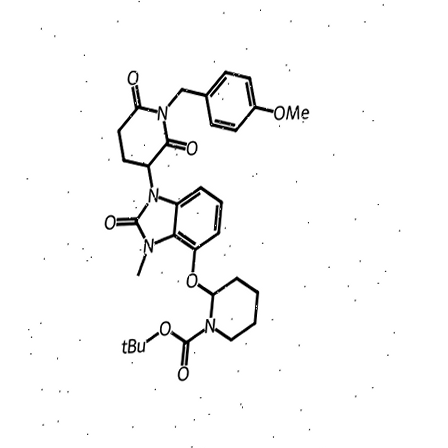 COc1ccc(CN2C(=O)CCC(n3c(=O)n(C)c4c(OC5CCCCN5C(=O)OC(C)(C)C)cccc43)C2=O)cc1